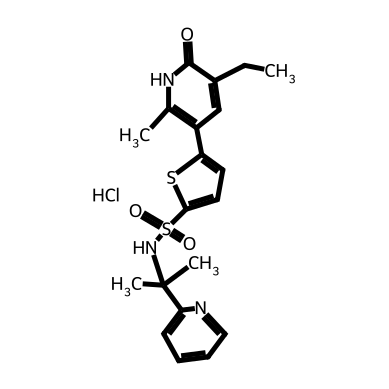 CCc1cc(-c2ccc(S(=O)(=O)NC(C)(C)c3ccccn3)s2)c(C)[nH]c1=O.Cl